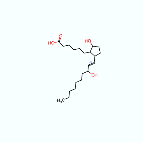 CCCCCCCC(O)/C=C/C1CCC(O)C1CCCCCC(=O)O